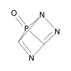 O=P12C3=NN1C2=N3